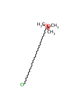 CCO[Si](CCCCCCCCCCCCCCCCCCCCCCCCCCCCCCCCCCCCCCCl)(OCC)OCC